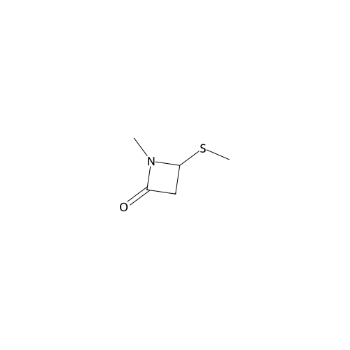 CSC1CC(=O)N1C